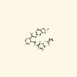 Cn1cc2ccc(NC(=O)c3ccccc3NCc3ccnc(OC(N)=O)c3)cc2n1